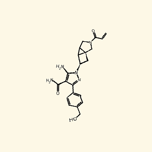 C=CC(=O)N1CC2C3[C@H](n4nc(-c5ccc(CO)cc5)c(C(N)=O)c4N)C[C@]23C1